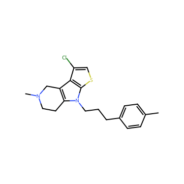 Cc1ccc(CCCn2c3c(c4c(Cl)csc42)CN(C)CC3)cc1